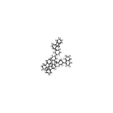 c1cc(-c2cccc(N(c3ccc(-c4cccc5ccccc45)cc3)c3ccc4c(c3)C3(c5ccccc5-c5ccccc53)c3ccccc3-4)c2)cc(-c2cccc3c2sc2ccccc23)c1